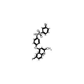 Cc1cc(Oc2ccc(NS(=O)(=O)c3cccc(Br)c3)cc2)c2cc(F)ccc2n1